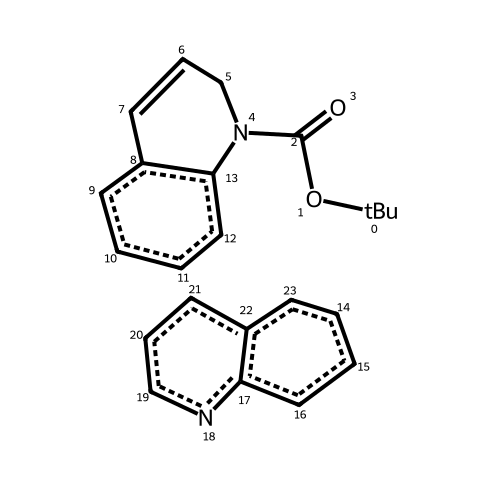 CC(C)(C)OC(=O)N1CC=Cc2ccccc21.c1ccc2ncccc2c1